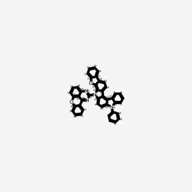 c1ccc(-n2c3ccccc3c3c4c5ccc6c7ccccc7oc6c5n(-c5nc6c7c(cccc7n5)Oc5ccccc5-6)c4ccc32)cc1